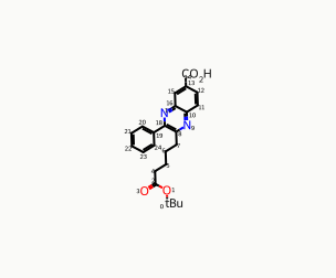 CC(C)(C)OC(=O)CCCCc1nc2ccc(C(=O)O)cc2nc1-c1ccccc1